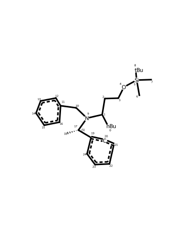 CCCCC(CCO[Si](C)(C)C(C)(C)C)N(Cc1ccccc1)[C@@H](C)c1ccccc1